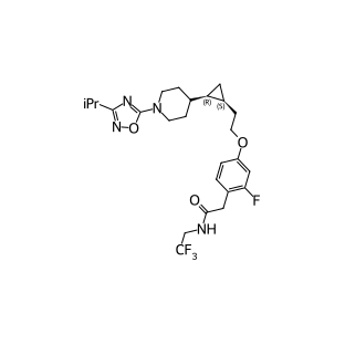 CC(C)c1noc(N2CCC([C@H]3C[C@H]3CCOc3ccc(CC(=O)NCC(F)(F)F)c(F)c3)CC2)n1